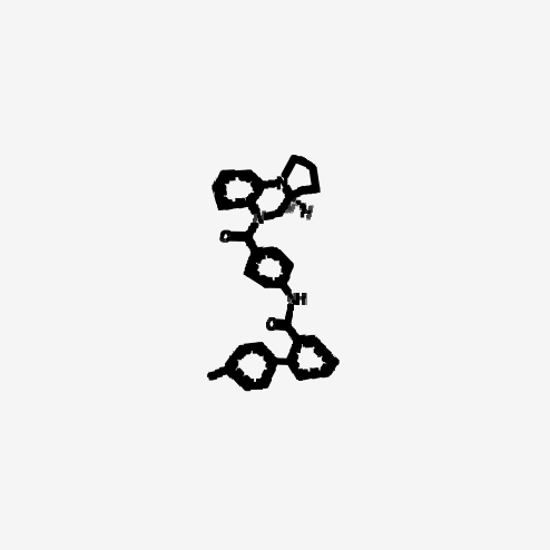 Cc1ccc(-c2ccccc2C(=O)Nc2ccc(C(=O)N3C[C@@H]4CCCN4c4ccccc43)cc2)cc1